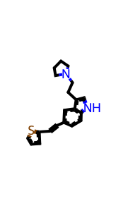 C(#Cc1cccs1)c1ccc2[nH]cc(CCN3CCCC3)c2c1